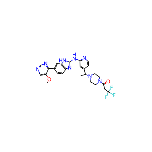 COc1cncnc1-c1ccc2nc(Nc3cc(C(C)N4CCN(C(=O)CC(F)(F)F)CC4)ccn3)[nH]c2c1